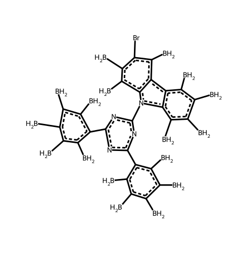 Bc1c(B)c(B)c(-c2nc(-c3c(B)c(B)c(B)c(B)c3B)nc(-n3c4c(B)c(B)c(B)c(B)c4c4c(B)c(Br)c(B)c(B)c43)n2)c(B)c1B